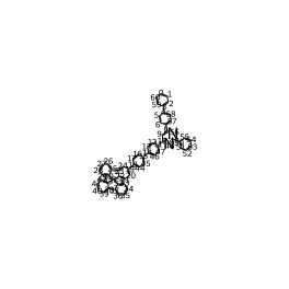 c1ccc(-c2ccc(-c3cc(-c4ccc(-c5ccc(-c6ccc7c(c6)-c6ccccc6C76c7ccccc7-c7ccccc76)cc5)cc4)nc(-c4ccccc4)n3)cc2)cc1